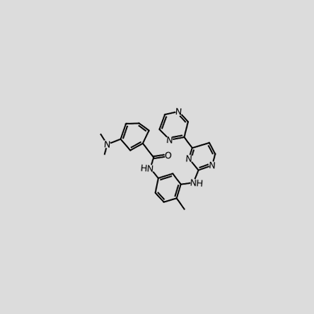 Cc1ccc(NC(=O)c2cccc(N(C)C)c2)cc1Nc1nccc(-c2cnccn2)n1